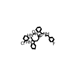 O=C(NCCc1ccc(F)cc1)c1ccccc1N1C(=O)CCc2c([nH]c3ccccc23)[C@@H](c2cccc(Cl)c2)NC1=O